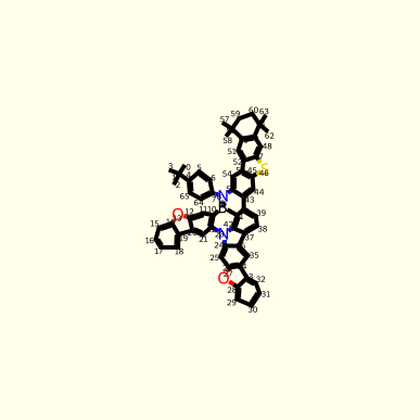 CC(C)(C)c1ccc(N2B3c4cc5oc6ccccc6c5cc4-n4c5cc6oc7ccccc7c6cc5c5ccc(c3c54)-c3cc4sc5cc6c(cc5c4cc32)C(C)(C)CCC6(C)C)cc1